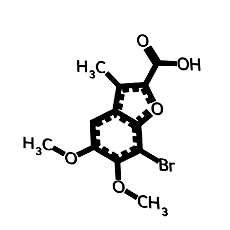 COc1cc2c(C)c(C(=O)O)oc2c(Br)c1OC